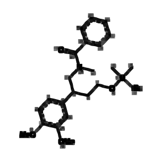 COc1ccc(C(CCO[Si](C)(C)C(C)(C)C)CN(C)C(=O)c2ccccc2)cc1OC